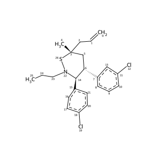 C=CC[C@]1(C)C[C@H](c2cccc(Cl)c2)[C@@H](c2ccc(Cl)cc2)N(CCC)S1